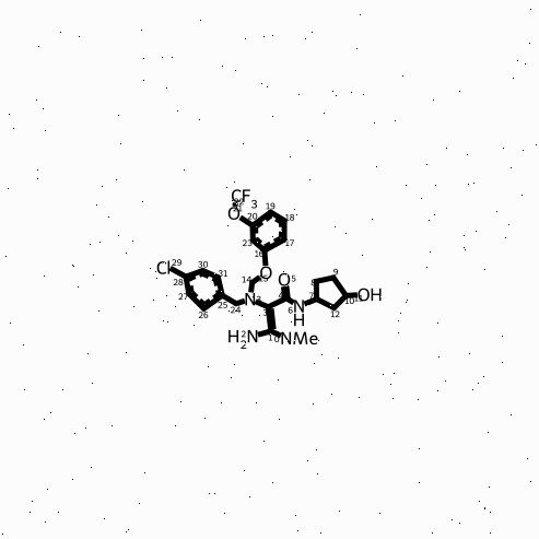 CN/C(N)=C(\C(=O)NC1CCC(O)C1)N(COc1cccc(OC(F)(F)F)c1)Cc1ccc(Cl)cc1